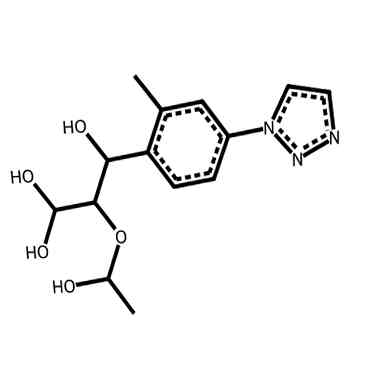 Cc1cc(-n2ccnn2)ccc1C(O)C(OC(C)O)C(O)O